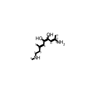 CNCC/C(C)=C/C(O)=C(O)\C=C(/C)N